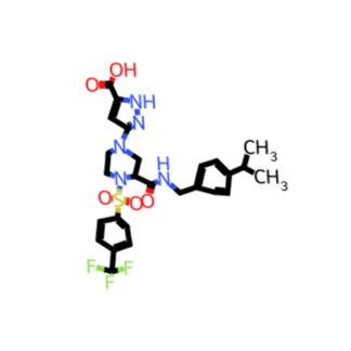 CC(C)c1ccc(CNC(=O)C2CN(c3cc(C(=O)O)[nH]n3)CCN2S(=O)(=O)c2ccc(C(F)(F)F)cc2)cc1